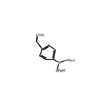 CCCCCN(CCCCC)c1ccc([CH]C=O)cc1